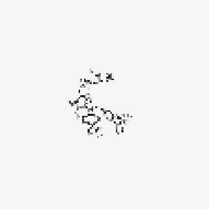 CC(C)(CC(=O)N[C@@H]1CSc2cc(C(F)(F)F)ccc2N(Cc2ccc(-c3ccccc3S(N)(=O)=O)cc2)C1=O)NC[C@H](O)CO